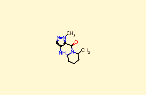 CC1CCCCN1C(=O)c1c(N)cnn1C